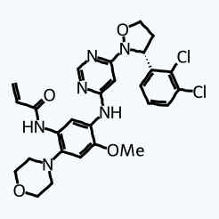 C=CC(=O)Nc1cc(Nc2cc(N3OCC[C@@H]3c3cccc(Cl)c3Cl)ncn2)c(OC)cc1N1CCOCC1